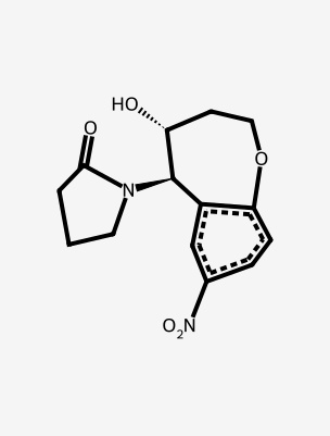 O=C1CCCN1[C@@H]1c2cc([N+](=O)[O-])ccc2OCC[C@H]1O